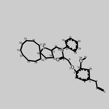 C=CCc1ccc(OCC(=O)N(CC2CCC3(CCCCCCCCC3)S2)c2ccccc2)c(OC)c1